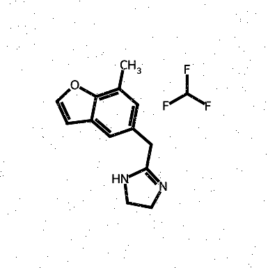 Cc1cc(CC2=NCCN2)cc2ccoc12.FC(F)F